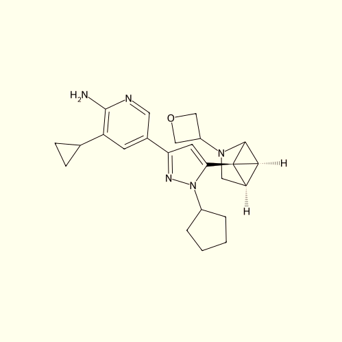 Nc1ncc(-c2cc([C@@]34C5[C@H]3[C@H]4CN5C3COC3)n(C3CCCC3)n2)cc1C1CC1